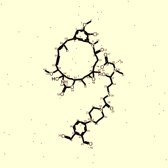 COc1cc2cc(c1Cl)N(C)C(=O)C[C@H](OC(=O)[C@H](C)N(C)C(O)CCSCC(=O)N1CCN(c3ccc(C=O)c(C=O)c3)CC1)C1(C)OC1C(C)C1CC(O)(NC(=O)O1)C(OC)/C=C/C=C(\C)C2